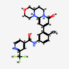 Cc1ccc(NC(=O)c2ccnc(C(F)(F)F)c2)cc1-c1cc2n(c(=O)c1)CCC1COCCN21